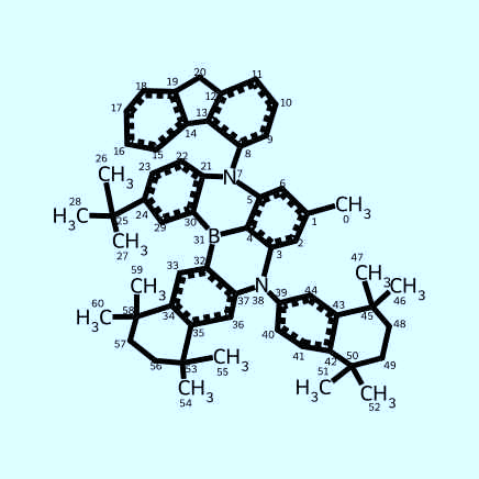 Cc1cc2c3c(c1)N(c1cccc4c1-c1ccccc1C4)c1ccc(C(C)(C)C)cc1B3c1cc3c(cc1N2c1ccc2c(c1)C(C)(C)CCC2(C)C)C(C)(C)CCC3(C)C